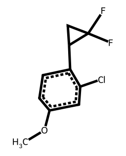 COc1ccc(C2CC2(F)F)c(Cl)c1